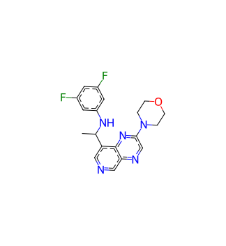 CC(Nc1cc(F)cc(F)c1)c1cncc2ncc(N3CCOCC3)nc12